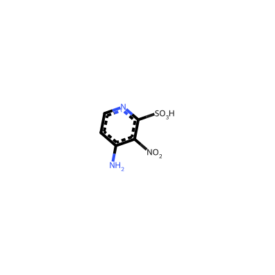 Nc1ccnc(S(=O)(=O)O)c1[N+](=O)[O-]